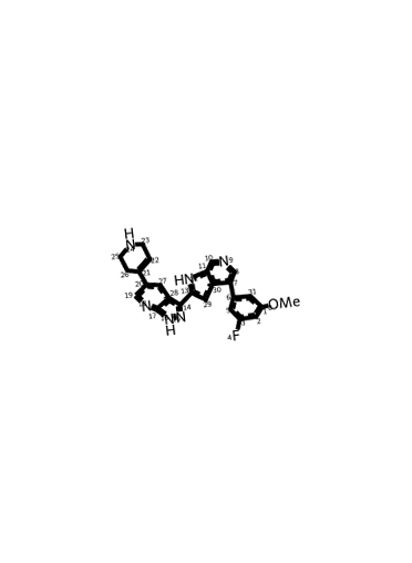 COc1cc(F)cc(-c2cncc3[nH]c(-c4n[nH]c5ncc(C6=CCNCC6)cc45)cc23)c1